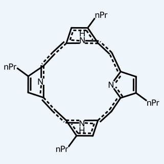 CCCC1=Cc2cc3[nH]c(cc4nc(cc5[nH]c(cc1n2)cc5CCC)C=C4CCC)cc3CCC